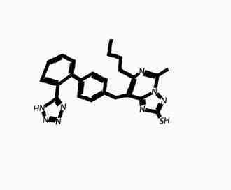 CCCCc1nc(C)n2nc(S)nc2c1Cc1ccc(-c2ccccc2-c2nnn[nH]2)cc1